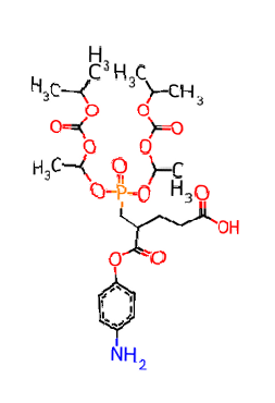 CC(C)OC(=O)OC(C)OP(=O)(CC(CCC(=O)O)C(=O)Oc1ccc(N)cc1)OC(C)OC(=O)OC(C)C